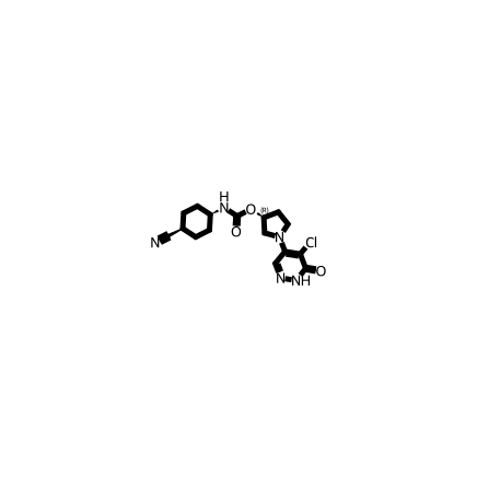 N#C[C@H]1CC[C@H](NC(=O)O[C@@H]2CCN(c3cn[nH]c(=O)c3Cl)C2)CC1